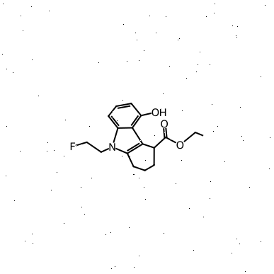 CCOC(=O)C1CCCc2c1c1c(O)cccc1n2CCF